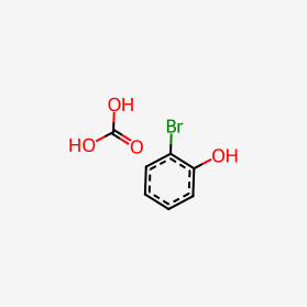 O=C(O)O.Oc1ccccc1Br